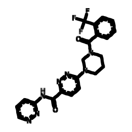 O=C(Nc1cccnn1)c1ccc(N2CCCN(C(=O)c3ccccc3C(F)(F)F)C2)nn1